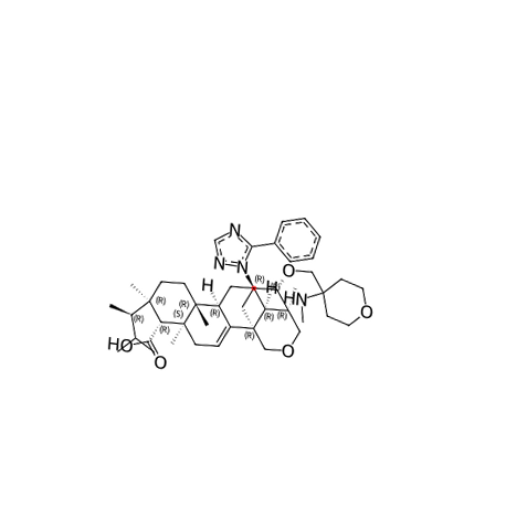 CNC1(CO[C@H]2[C@H](n3ncnc3-c3ccccc3)C[C@@]34COC[C@@]2(C)[C@@H]3CC[C@H]2C4=CC[C@@]3(C)[C@H](C(=O)O)[C@@](C)([C@H](C)C(C)C)CC[C@]23C)CCOCC1